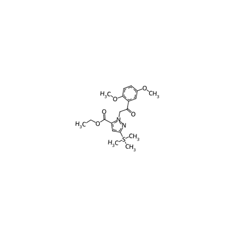 CCOC(=O)c1cc(S(C)(C)C)nn1CC(=O)c1cc(OC)ccc1OC